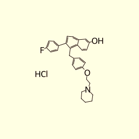 Cl.Oc1ccc2c(Cc3ccc(OCCN4CCCCC4)cc3)c(-c3ccc(F)cc3)ccc2c1